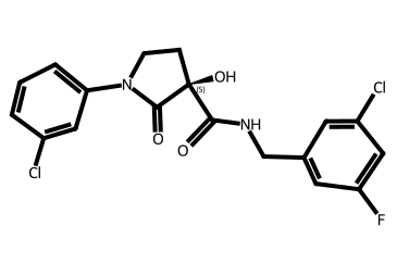 O=C(NCc1cc(F)cc(Cl)c1)[C@@]1(O)CCN(c2cccc(Cl)c2)C1=O